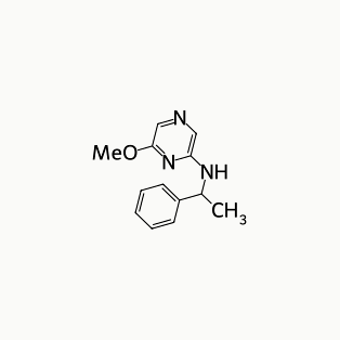 COc1cncc(NC(C)c2ccccc2)n1